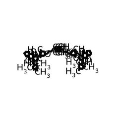 Cc1cc(C)c(Nc2ccc(Nc3c(C)cc(OCCCS(C)(C)S(C)(C)S(C)(C)CCCOc4cc(C)c(Nc5ccc(Nc6c(C)cc(C)cc6C)c6c5C(=O)c5ccccc5C6=O)c(C)c4)cc3C)c3c2C(=O)c2ccccc2C3=O)c(C)c1